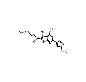 COCCC[S+]([O-])c1sc2nc(-c3cnn(C)c3)cc(C(F)(F)F)c2c1N